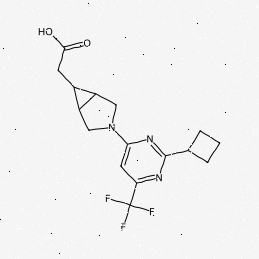 O=C(O)CC1C2CN(c3cc(C(F)(F)F)nc(C4CCC4)n3)CC12